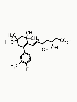 Cc1cc(C2=C(C=C[C@@H](O)C[C@@H](O)CC(=O)O)C(C)(C)CC(C)(C)C2)ccc1F